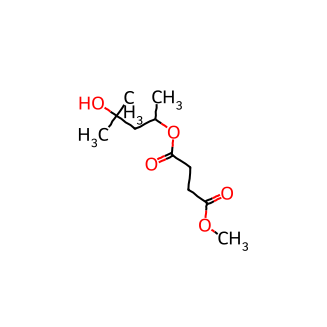 COC(=O)CCC(=O)OC(C)CC(C)(C)O